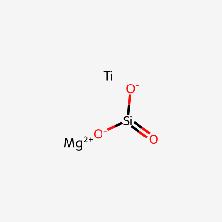 O=[Si]([O-])[O-].[Mg+2].[Ti]